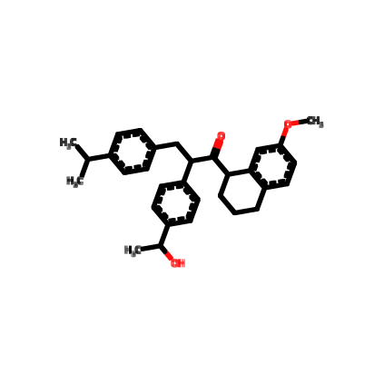 COc1ccc2c(c1)C(C(=O)C(Cc1ccc(C(C)C)cc1)c1ccc(C(C)O)cc1)CCC2